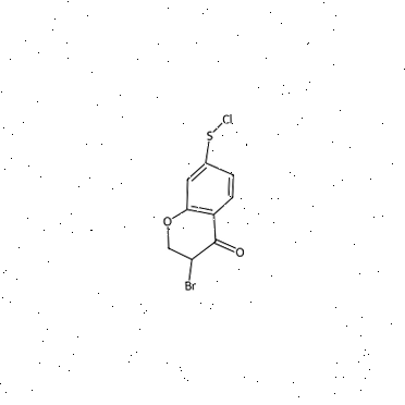 O=C1c2ccc(SCl)cc2OCC1Br